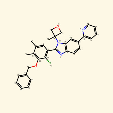 Cc1cc(-c2nc3ccc(-c4ccccn4)cc3n2C2(C)COC2)c(F)c(OCc2ccccc2)c1C